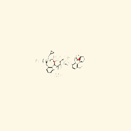 COc1ccc2c3c1O[C@@H]1[C@H](OCCOc4ccc5c6c4O[C@H]4C6[C@]6(CC5)CC[C@H]4C(C(C)(C)C)C6)[C@@H]([C@](C)(O)C(C)(C)C)CC(C)[C@@]31CCN(CC1CC1)[C@@H](C)C2